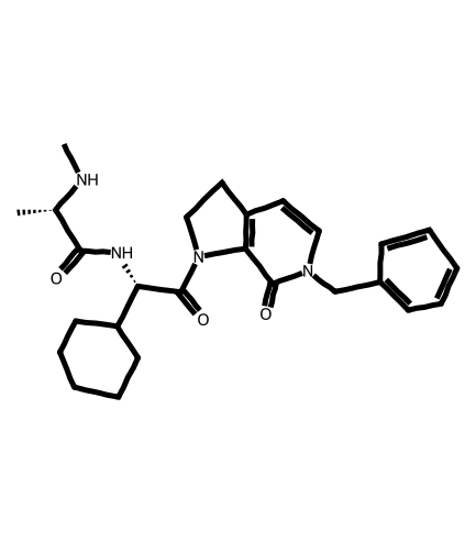 CN[C@@H](C)C(=O)N[C@H](C(=O)N1CCc2ccn(Cc3ccccc3)c(=O)c21)C1CCCCC1